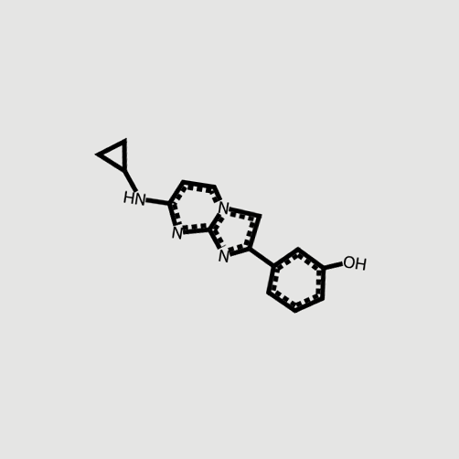 Oc1cccc(-c2cn3ccc(NC4CC4)nc3n2)c1